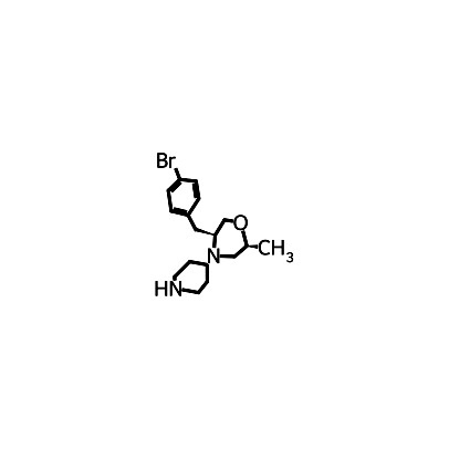 C[C@H]1CN(C2CCNCC2)[C@@H](Cc2ccc(Br)cc2)CO1